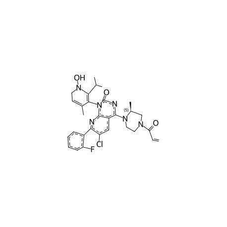 C=CC(=O)N1CCN(c2nc(=O)n(C3=C(C(C)C)N(O)CC=C3C)c3nc(-c4ccccc4F)c(Cl)cc23)[C@@H](C)C1